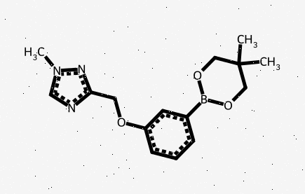 Cn1cnc(COc2cccc(B3OCC(C)(C)CO3)c2)n1